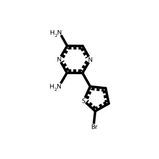 Nc1cnc(-c2ccc(Br)s2)c(N)n1